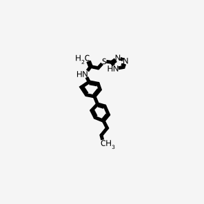 C=C(CSc1nnc[nH]1)Nc1ccc(-c2ccc(CCC)cc2)cc1